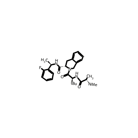 CN[C@@H](C)C(=O)N[C@H](C(=O)N1Cc2c[c]ccc2C[C@H]1C(=O)N[C@H](C)c1ccccc1F)C(C)(C)C